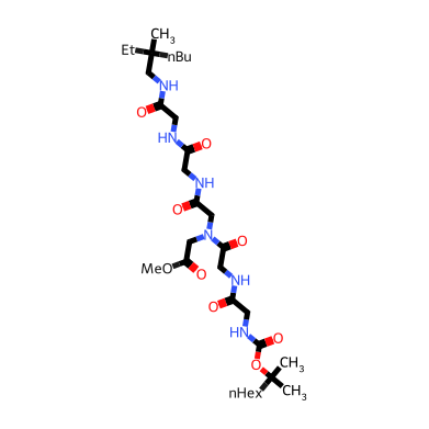 CCCCCCC(C)(C)OC(=O)NCC(=O)NCC(=O)N(CC(=O)NCC(=O)NCC(=O)NCC(C)(CC)CCCC)CC(=O)OC